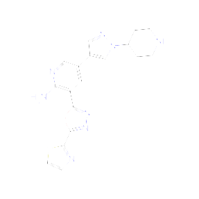 Nc1ncc(-c2cnn(C3CCNCC3)c2)cc1-c1nnc(-c2nccs2)o1